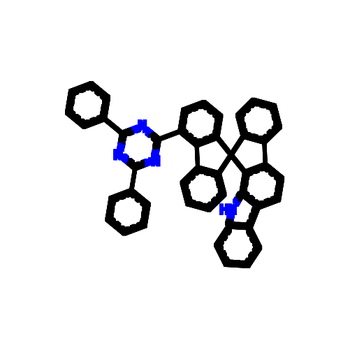 c1ccc(-c2nc(-c3ccccc3)nc(-c3cccc4c3-c3ccccc3C43c4ccccc4-c4ccc5c([nH]c6ccccc65)c43)n2)cc1